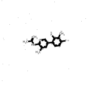 C=C(C)Nc1ncc(-c2ccc(F)c(C)c2F)cc1C